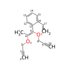 C#CCO/C(C)=C(\OCC#C)c1ccccc1C=C